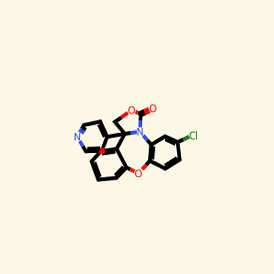 O=C1OCC2(c3ccncc3)c3ccccc3Oc3ccc(Cl)cc3N12